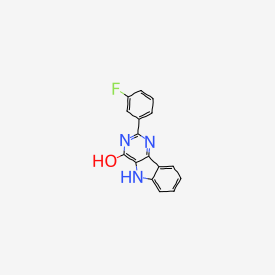 Oc1nc(-c2cccc(F)c2)nc2c1[nH]c1ccccc12